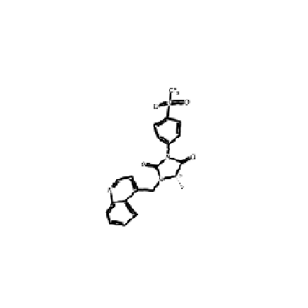 C[C@H]1C(=O)N(c2ccc(S(=O)(=O)C(F)(F)F)cc2)C(=O)N1Cc1ccnc2ccccc12